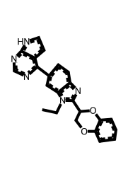 CCn1c(C2COc3ccccc3O2)nc2ccc(-c3ncnc4[nH]ccc34)cc21